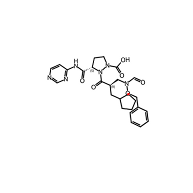 O=CN(C[C@@H](CC1CCCC1)C(=O)N1[C@H](C(=O)Nc2ccncn2)CCN1C(=O)O)OCc1ccccc1